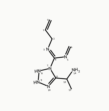 C=CC/N=C(\N=C)N1NNN=C1C(C)N